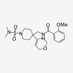 COc1ccccc1C(=O)NCC1(C2=CCOCC2)CCN(S(=O)(=O)N(C)C)CC1